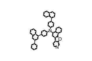 c1ccc(-c2cc(-c3ccc(N(c4ccc(-c5cccc6ccccc56)cc4)c4cc5c6ccncc6oc5c5ccccc45)cc3)c3ccccc3c2)cc1